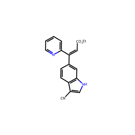 [C-]#[N+]c1c[nH]c2cc(C(=CC(=O)OCC)c3ccccn3)ccc12